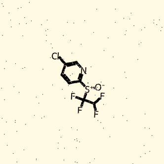 [O-][S+](c1ccc(Cl)cn1)C(F)(F)C(F)F